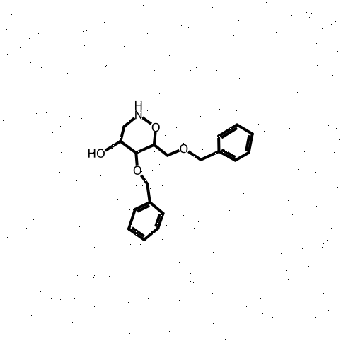 OC1CNOC(COCc2ccccc2)C1OCc1ccccc1